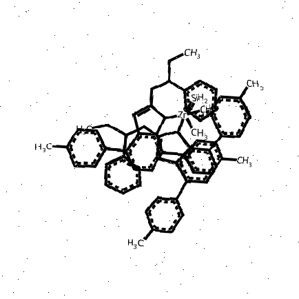 CCC(CC1=Cc2c(-c3ccc(C)cc3)ccc(-c3ccc(C)cc3)c2[CH]1[Zr]([CH3])([CH3])(=[SiH2])[CH]1C(CC(CC)c2ccccc2)=Cc2c(-c3ccc(C)cc3)ccc(-c3ccc(C)cc3)c21)c1ccccc1